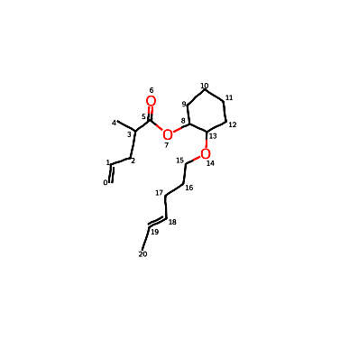 C=CCC(C)C(=O)OC1CCCCC1OCCCC=CC